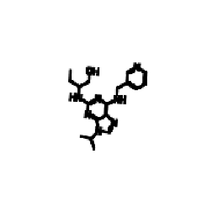 CCC(CO)Nc1nc(NCc2cccnc2)c2ncn(C(C)C)c2n1